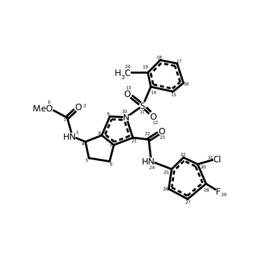 COC(=O)NC1CCc2c1cn(S(=O)(=O)c1ccccc1C)c2C(=O)Nc1ccc(F)c(Cl)c1